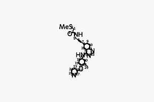 CSCC(=O)NCC#Cc1ccc2ncnc(Nc3ccc(Oc4cccnc4)c(C)c3)c2c1